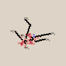 CCCCCC/C=C\CCCCCCCCCCO[C@H]1[C@H](OC[C@H]2O[C@H](OP(=O)(O)O)[C@@H](NC(=O)CC(=O)CCCCCCCCCCC)[C@@H](OCCCCCCCCCC)[C@@H]2OP(=O)(O)O)O[C@H](COC)[C@@H](OP(=O)(O)O)[C@@H]1OCC[C@H](CCCCCCC)OC